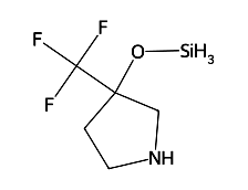 FC(F)(F)C1(O[SiH3])CCNC1